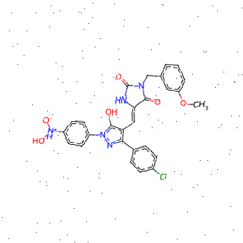 COc1cccc(CN2C(=O)N/C(=C\c3c(-c4ccc(Cl)cc4)nn(-c4ccc([NH+]([O-])O)cc4)c3O)C2=O)c1